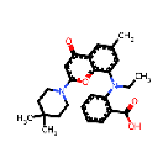 CCN(c1ccccc1C(=O)O)c1cc(C)cc2c(=O)cc(N3CCC(C)(C)CC3)oc12